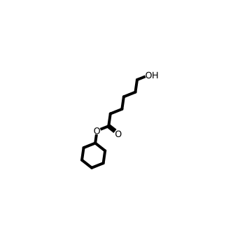 O=C(CCCCCO)OC1CCCCC1